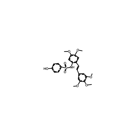 COc1cc(C=Cc2cc(OC)c(OC)c(OC)c2)c(NS(=O)(=O)c2ccc(O)cc2)cc1OC